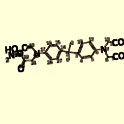 CC(C)(c1ccc(N(CC(=O)O)CC(=O)O)cc1)c1ccc(N(CC(=O)O)CC(=O)ON)cc1